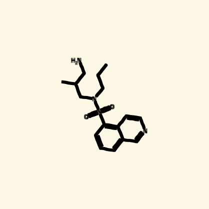 CCCN(CC(C)CN)S(=O)(=O)c1cccc2cnccc12